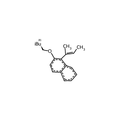 CC=C(C)c1c(OC[C@H](C)CC)ccc2ccccc12